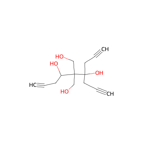 C#CCC(O)C(CO)(CO)C(O)(CC#C)CC#C